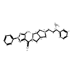 Cc1nn(-c2ccccc2)nc1C(=O)N1CC2CN(CC[C@H](N)c3ccccc3)CC2C1